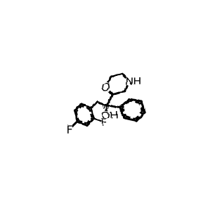 O[C@](Cc1ccc(F)cc1F)(c1ccccc1)C1CNCCO1